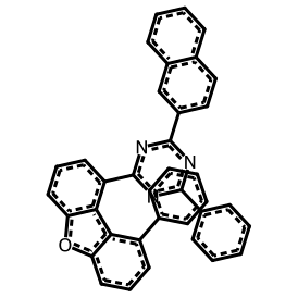 c1ccc(-c2nc(-c3ccc4ccccc4c3)nc(-c3cccc4oc5cccc(-c6ccccc6)c5c34)n2)cc1